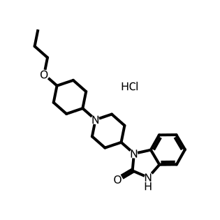 CCCOC1CCC(N2CCC(n3c(=O)[nH]c4ccccc43)CC2)CC1.Cl